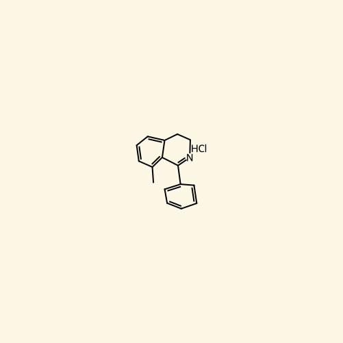 Cc1cccc2c1C(c1ccccc1)=NCC2.Cl